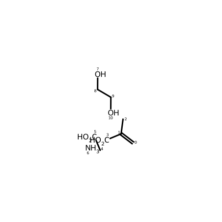 C=C(C)C(=O)O.CC(=O)O.N.OCCO